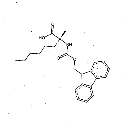 CCCCCC[C@@](C)(NC(=O)OCC1c2ccccc2-c2ccccc21)C(=O)O